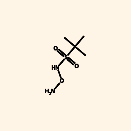 CC(C)(C)S(=O)(=O)NON